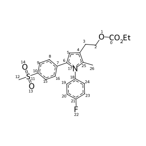 CCOC(=O)OCCc1cc(-c2ccc(S(C)(=O)=O)cc2)n(-c2ccc(F)cc2)c1C